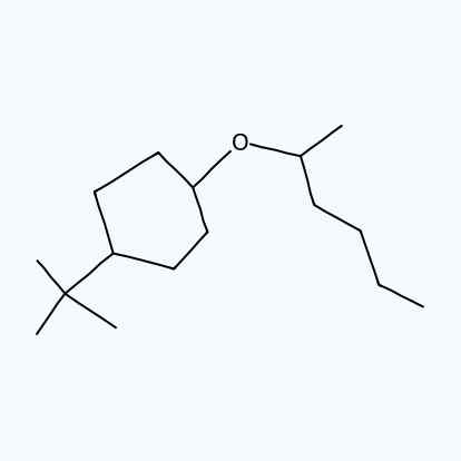 CCCCC(C)OC1CCC(C(C)(C)C)CC1